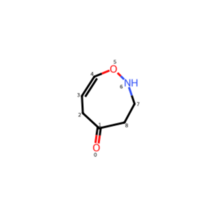 O=C1C/C=C\ONCC1